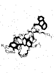 C=CCOc1c(C)c2c(c3c1CC1[C@H]4N[C@H](Cc5cc(C)c(OC)c(OCOC)c54)[C@H](C#N)N1[C@H]3COC(=O)[C@@H](CSCC1c3ccccc3-c3ccccc31)NC(=O)OCC(Cl)(Cl)Cl)OCO2